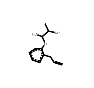 C=CCc1ccccc1OC(N)C(C)O